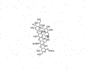 CCCCCCOC1OC(CO)[C@H](O)[C@H](OC2OC(CO)[C@@H](O)[C@H](O[C@@H]3OC(CO)[C@H](OC4OC(CO)[C@H](O)[C@H](O)[C@@H]4C)[C@H](O[C@@]4(C(=O)O)CC(O)[C@H](C)C([C@H](O)[C@H](O)CO)O4)C3O)[C@@H]2NC(C)=O)[C@@H]1O